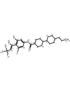 CCCC1CCC(C2CCC(C(=O)Oc3cc(F)c(/C(F)=C/C(F)(F)F)c(F)c3)CC2)CC1